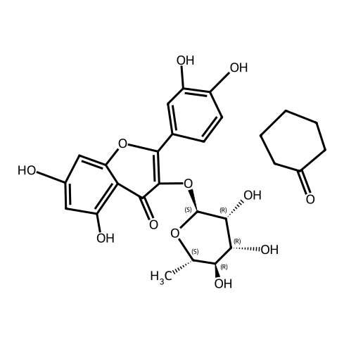 C[C@@H]1O[C@@H](Oc2c(-c3ccc(O)c(O)c3)oc3cc(O)cc(O)c3c2=O)[C@H](O)[C@H](O)[C@H]1O.O=C1CCCCC1